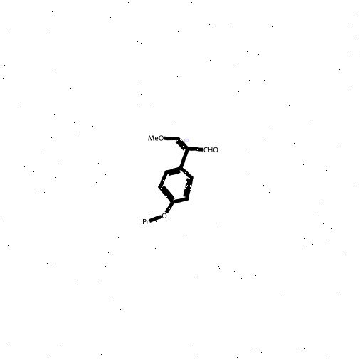 CO/C=C(/C=O)c1ccc(OC(C)C)cc1